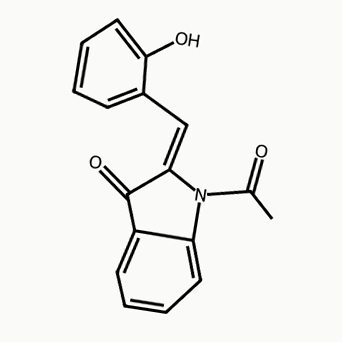 CC(=O)N1C(=Cc2ccccc2O)C(=O)c2ccccc21